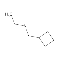 CCNCC1CCC1